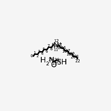 CCCCCCCCCC[N+](C)(C)CCCCCCCCCC.NC(=O)CS